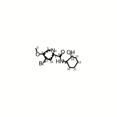 COc1cnc(C(=O)N[C@@H]2CCCC[C@H]2O)cc1Br